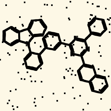 c1ccc(-c2nc(-c3cccc(-c4ccccc4-n4c5ccccc5c5ccccc54)c3)nc(-c3ccc4ccccc4c3)n2)cc1